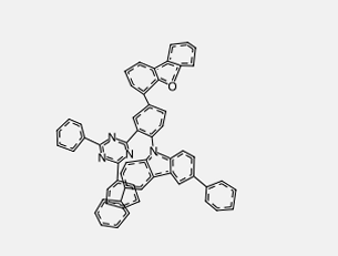 c1ccc(-c2ccc3c(c2)c2cc(-c4ccccc4)ccc2n3-c2ccc(-c3cccc4c3oc3ccccc34)cc2-c2nc(-c3ccccc3)nc(-c3ccccc3)n2)cc1